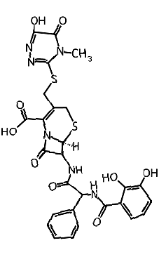 Cn1c(SCC2=C(C(=O)O)N3C(=O)C(NC(=O)C(NC(=O)c4cccc(O)c4O)c4ccccc4)[C@@H]3SC2)nnc(O)c1=O